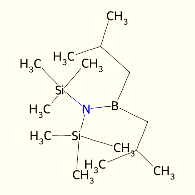 CC(C)CB(CC(C)C)N([Si](C)(C)C)[Si](C)(C)C